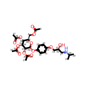 CC(=O)OC[C@H]1O[C@@H](Oc2ccc(OC[C@@H](O)CNC(C)C)cc2)[C@H](OC(C)=O)[C@@H](OC(C)=O)[C@@H]1OC(C)=O